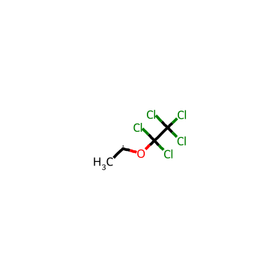 C[CH]OC(Cl)(Cl)C(Cl)(Cl)Cl